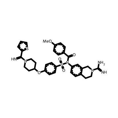 COc1ccc(C(=O)N(c2ccc3c(c2)CN(C(=N)N)CC3)S(=O)(=O)c2ccc(OC3CCN(C(=N)c4cccs4)CC3)cc2)cc1